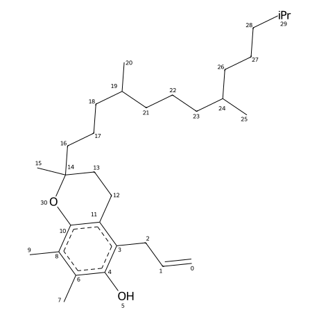 C=CCc1c(O)c(C)c(C)c2c1CCC(C)(CCCC(C)CCCC(C)CCCC(C)C)O2